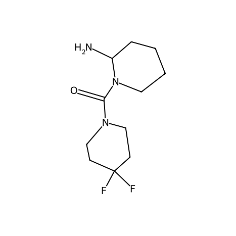 NC1CCCCN1C(=O)N1CCC(F)(F)CC1